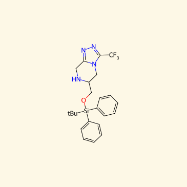 CC(C)(C)[Si](OCC1Cn2c(nnc2C(F)(F)F)CN1)(c1ccccc1)c1ccccc1